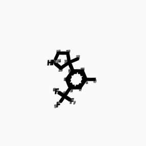 Cc1cc(C(F)(F)F)cc(C2(C)CCNC2)c1